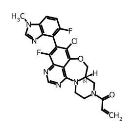 C=CC(=O)N1CCN2c3ncnc4c(F)c(-c5c(F)ccc6c5ncn6C)c(Cl)c(c34)OC[C@@H]2C1